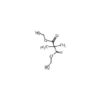 CC(C)(C(=O)OCO)C(=O)OCO